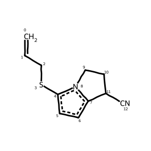 C=CCSc1ccc2n1CCC2C#N